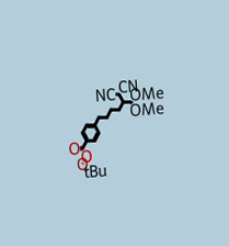 COC(OC)C(CCCCc1ccc(C(=O)OOC(C)(C)C)cc1)C(C#N)C#N